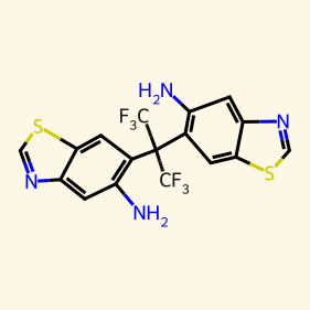 Nc1cc2ncsc2cc1C(c1cc2scnc2cc1N)(C(F)(F)F)C(F)(F)F